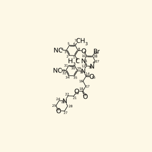 Cc1cc(C#N)cc(C)c1Oc1nc(N(C(=O)CCC(=O)OCCN2CCOCC2)c2ccc(C#N)cc2)ncc1Br